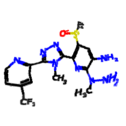 CC[S+]([O-])c1cc(N)c(N(C)N)nc1-c1nnc(-c2cc(C(F)(F)F)ccn2)n1C